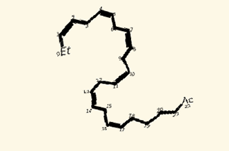 CC/C=C\C/C=C\C/C=C\C/C=C\C/C=C\C/C=C\CCCCC(C)=O